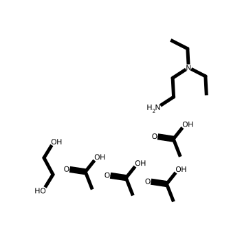 CC(=O)O.CC(=O)O.CC(=O)O.CC(=O)O.CCN(CC)CCN.OCCO